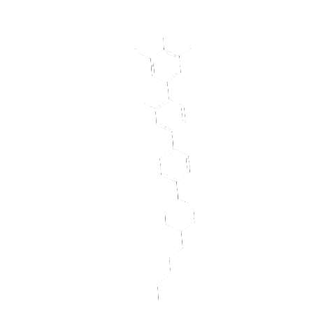 CCCCCC1COC(c2ccc(-c3ccc(-c4cc(F)c(F)c(F)c4)c(F)c3)cc2)OC1